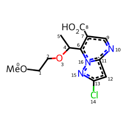 COCCOC(C)c1c(C(=O)O)cnc2cc(Cl)nn12